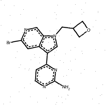 Nc1nccc(-c2cn(CC3COC3)c3cnc(Br)cc23)n1